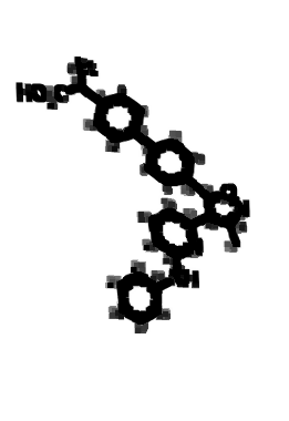 CCC(C(=O)O)c1ccc(-c2ccc(-c3onc(C)c3-c3cccc(Nc4ccccc4)n3)cc2)cc1